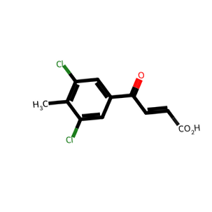 Cc1c(Cl)cc(C(=O)/C=C/C(=O)O)cc1Cl